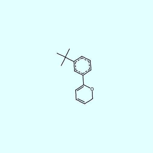 CC(C)(C)c1cccc(C2=CC=CCO2)c1